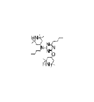 CCCCc1nc(OC2CC(C)(C)NC(C)(C)C2)nc(N(CCCC)C2CC(C)(C)NC(C)(C)C2)n1